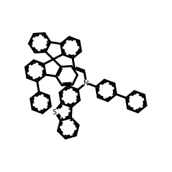 C1=CC2=C(CC1)C1(c3ccccc3-c3cccc(C=CN(c4ccc(-c5ccccc5)cc4)c4ccc5sc6ccccc6c5c4)c31)c1cccc(-c3ccccc3)c12